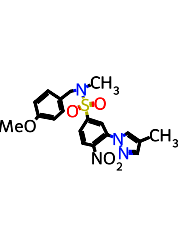 COc1ccc(CN(C)S(=O)(=O)c2ccc([N+](=O)[O-])c(-n3cc(C)cn3)c2)cc1